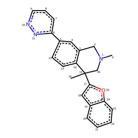 CN1Cc2cc(-c3cccnn3)ccc2C(C)(c2cc3ccccc3o2)C1